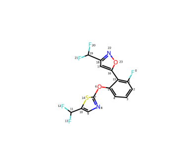 Fc1cccc(Oc2ncc(C(F)F)s2)c1-c1cc(C(F)F)no1